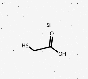 O=C(O)CS.[Si]